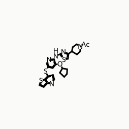 CC(=O)N1CCC(c2csc(Nc3ncc(Sc4ccnc5ccsc45)cc3OC3CCCC3)n2)CC1